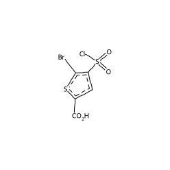 O=C(O)c1cc(S(=O)(=O)Cl)c(Br)s1